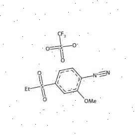 CCS(=O)(=O)c1ccc([N+]#N)c(OC)c1.O=S(=O)([O-])C(F)(F)F